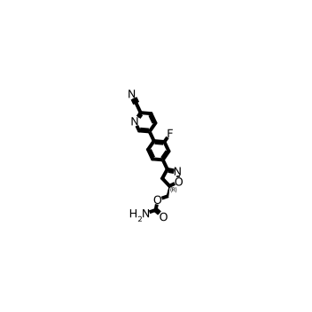 N#Cc1ccc(-c2ccc(C3=NO[C@@H](COC(N)=O)C3)cc2F)cn1